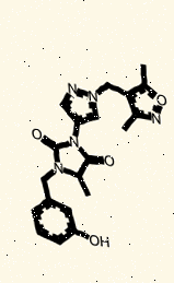 Cc1noc(C)c1Cn1cc(N2C(=O)C(C)N(Cc3cccc(O)c3)C2=O)cn1